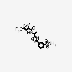 CC(NC(=O)c1cc(C(F)(F)F)nn1C)c1nc(-c2cccc(S(N)(=O)=O)c2)no1